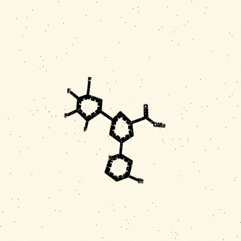 CCc1ccnc(-c2cc(C(=O)OC)cc(-c3cc(F)c(F)c(F)c3F)c2)c1